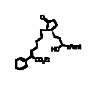 CCCCCC(O)CC[C@H]1CCC(=O)[C@@H]1CCCCC=C(C(=O)OCC)c1ccccc1